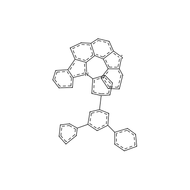 c1ccc(-c2cc(-c3ccccc3)cc(-c3cccc(-n4c5ccccc5c5ccc6ccc7sc8ccccc8c7c6c54)c3)c2)cc1